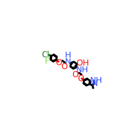 Cc1n[nH]c2cc(OCC(=O)NC34CCC(NC(=O)COc5ccc(Cl)c(F)c5)(CC3)CC4O)ccc12